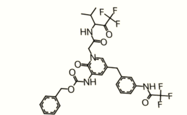 CC(C)C(NC(=O)Cn1cc(Cc2cccc(NC(=O)C(F)(F)F)c2)cc(NC(=O)OCc2ccccc2)c1=O)C(=O)C(F)(F)F